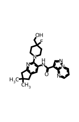 CC1(C)Cc2cc(NC(=O)c3cnn4cccnc34)c(N3CCC(F)(CO)CC3)nc2C1